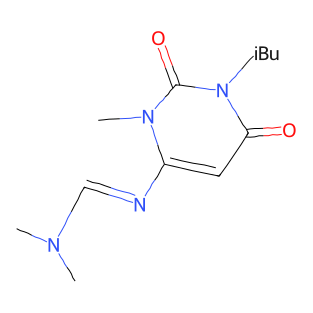 CCC(C)n1c(=O)cc(N=CN(C)C)n(C)c1=O